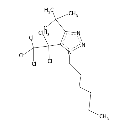 CCCCCCn1nnc(C(C)(C)C)c1C(Cl)(Cl)C(Cl)(Cl)Cl